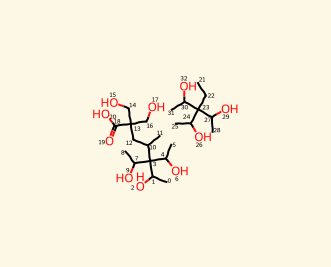 CC(O)C(C(C)O)(C(C)O)C(C)CC(CO)(CO)C(=O)O.CCC(C(C)O)(C(C)O)C(C)O